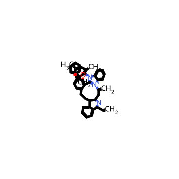 C=CC1=NC2CC(=C)[n+]3c(n(-c4c(C)cc(C)cc4C)c4ccccc43)-c3c(ccc4c3oc3ccccc34)CCC2c2ccccc21